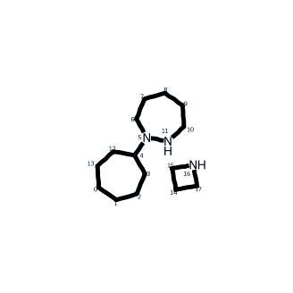 C1CCCC(N2CCCCCN2)CC1.C1CNC1